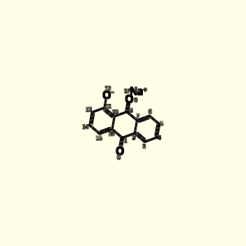 O=C1c2ccccc2C(=O)c2c([O-])cccc21.[Na+]